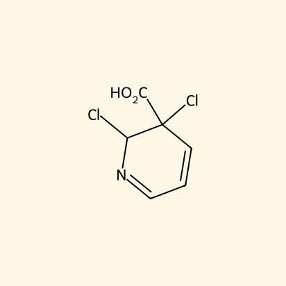 O=C(O)C1(Cl)C=CC=NC1Cl